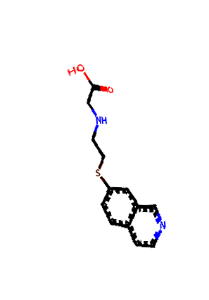 O=C(O)CNCCSc1ccc2ccncc2c1